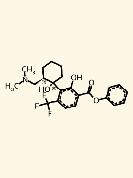 CN(C)C[C@H]1CCCC[C@]1(O)c1c(C(F)(F)F)ccc(C(=O)Oc2ccccc2)c1O